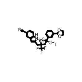 CC(C)(CC(O)(Cc1cc2cc(C#N)ccc2[nH]1)C(F)(F)F)c1cccc(C2OCCO2)c1